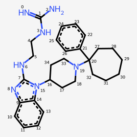 N=C(N)NCCNc1nc2ccccc2n1C1CCN(C2(c3ccccc3)CCCCCC2)CC1